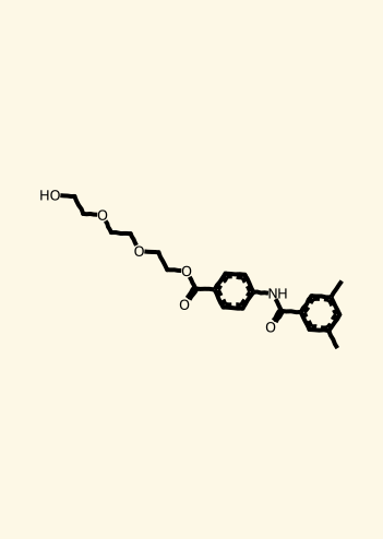 Cc1cc(C)cc(C(=O)Nc2ccc(C(=O)OCCOCCOCCO)cc2)c1